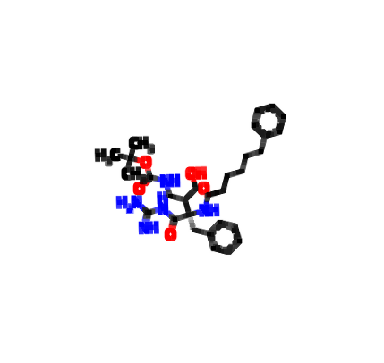 CC(C)(C)OC(=O)NCC(CO)[C@@](Cc1ccccc1)(NC(=O)CCCCCc1ccccc1)C(=O)NC(=N)N